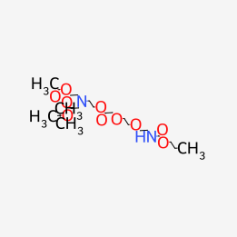 CCCOC(=O)NCCOCCOCC(=O)OCCN(CCOC(C)=O)CC(=O)OC(C)(C)C